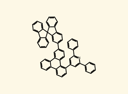 c1ccc(-c2cc(-c3cccc4c5ccccc5c5cc(-c6ccc7c(c6)C6(c8ccccc8-c8ccccc86)c6ccccc6-7)ccc5c34)cc(-c3ccccc3)n2)cc1